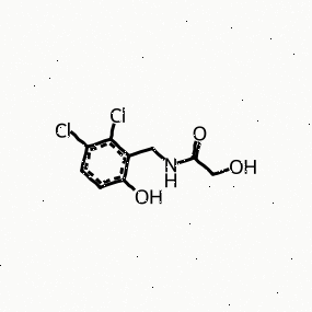 O=C(CO)NCc1c(O)ccc(Cl)c1Cl